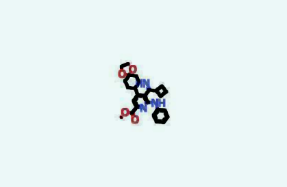 COC(=O)c1cc(C2CCC3(CC2)OCCO3)c(C(=N)C2CCC2)c(Nc2ccccc2)n1